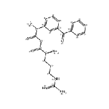 CC(C(=O)OC(=O)[C@@H](N)CCCNC(=N)N)c1cccc(C(=O)c2ccccc2)c1